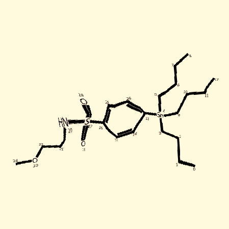 CCC[CH2][Sn]([CH2]CCC)([CH2]CCC)[c]1ccc(S(=O)(=O)NCCOC)cc1